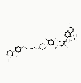 CCc1cc(Nc2ncc(Br)c(Nc3ccc4nc(C=O)ccc4c3P(C)(C)=O)n2)c(OC)cc1N1CCC(NCCNCCc2cc(F)c(C3CCC(=O)NC3=O)c(F)c2)CC1